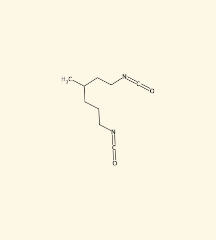 CC(CCCN=C=O)CCN=C=O